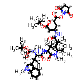 CC(=CC(C(C)C)N(C)C(=O)C(NC(=O)C(N(C)C(=O)OC(C)(C)C)C(C)(C)c1cn(C)c2ccccc12)C(C)(C)C)C(=O)NC(CCC(=O)ON1C(=O)CCC1=O)CC(=O)OC(C)(C)C